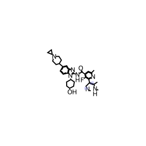 C/N=C\C(=C(\C)NC)c1nc(C)cc(C(=O)Nc2nc3cc(C4CCN(C5CC5)CC4)ccc3n2[C@H]2CC[C@@H](O)CC2)c1F